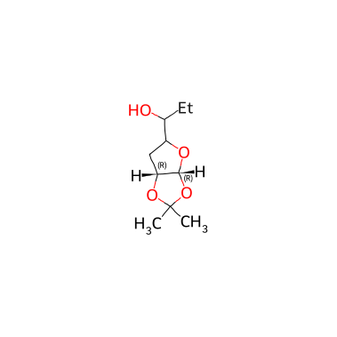 CCC(O)C1C[C@H]2OC(C)(C)O[C@H]2O1